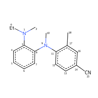 CCN(C)c1ccccc1N(C)c1ccc(C#N)cc1C